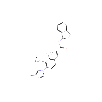 COc1c(C=CC(=O)NC2CCc3ccccc32)ccc(-n2cnc(C)c2)c1C1CC1